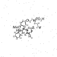 COc1ccc(OCCN(CCCF)C(=O)O)cc1[C@@H]1c2[nH]c3ccccc3c2C[C@@H](C)N1CC(F)F